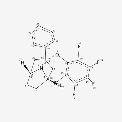 CN1[C@@H]2CC[C@H]1C[C@](Oc1c(F)c(F)c(F)c(F)c1F)(c1ccccc1)C2